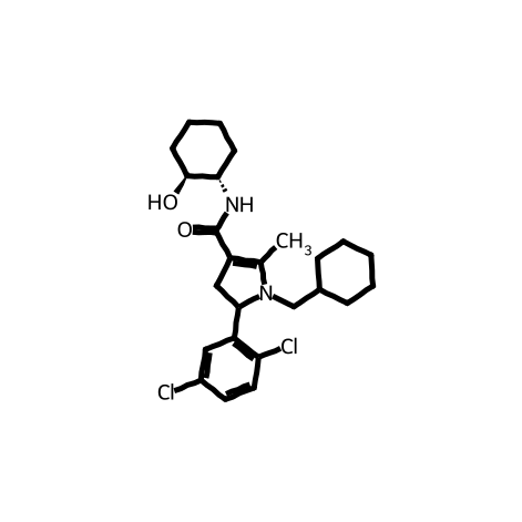 CC1=C(C(=O)N[C@H]2CCCC[C@@H]2O)CC(c2cc(Cl)ccc2Cl)N1CC1CCCCC1